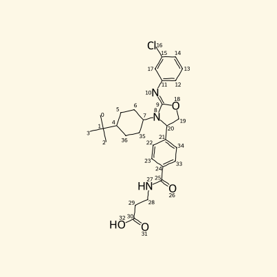 CC(C)(C)C1CCC(N2/C(=N/c3cccc(Cl)c3)OCC2c2ccc(C(=O)NCCC(=O)O)cc2)CC1